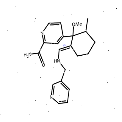 COC1(c2ccnc(C(N)=O)c2)/C(=C/NCc2cccnc2)CCCC1C